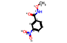 CONC(=O)c1cccc([N+](=O)[O-])c1